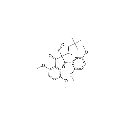 COc1ccc(OC)c(C(=O)C(P=O)(C(=O)c2cc(OC)ccc2OC)C(C)CC(C)(C)C)c1